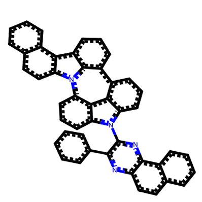 c1ccc(-c2nc3ccc4ccccc4c3nc2-n2c3cccc4c5cccc6c7c8ccccc8ccc7n(c7cccc2c7c43)c56)cc1